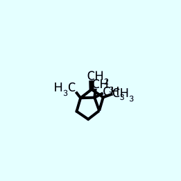 C=C1C(C)C2CCC1(C)C2(C)C